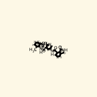 COc1ncc(NC(=O)c2cccc3c2C(=O)NC3)cc1S(=O)(=O)Nc1c(C)cccc1C